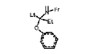 CCC(CC)(NC(C)C)Oc1ccccc1